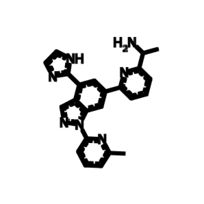 Cc1cccc(-n2ncc3c(-c4ncc[nH]4)cc(-c4cccc(C(C)N)n4)cc32)n1